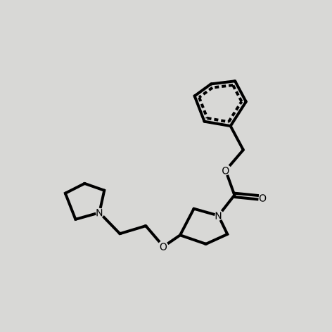 O=C(OCc1ccccc1)N1CCC(OCCN2CCCC2)C1